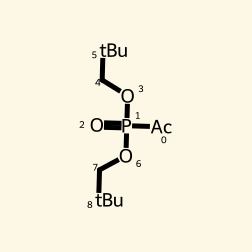 CC(=O)P(=O)(OCC(C)(C)C)OCC(C)(C)C